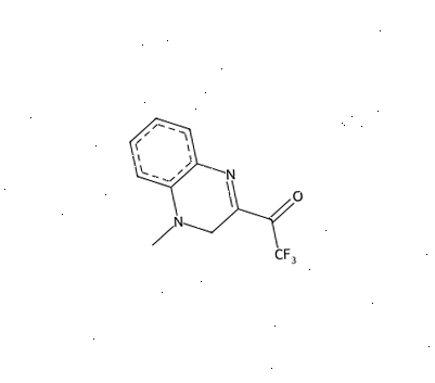 CN1CC(C(=O)C(F)(F)F)=Nc2ccccc21